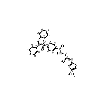 Cc1csc(NC(=O)CNC(=O)c2ccc(S(=O)(=O)N(Oc3ccccc3)c3ccccc3)cc2)n1